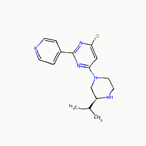 CC(C)[C@H]1CN(c2cc(Cl)nc(-c3ccncc3)n2)CCN1